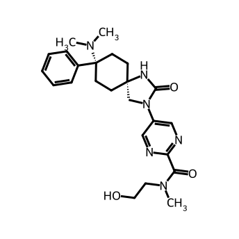 CN(CCO)C(=O)c1ncc(N2C[C@]3(CC[C@@](c4ccccc4)(N(C)C)CC3)NC2=O)cn1